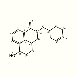 O=C1c2cccc3c2C(CCC3O)CN1CC1CC=NCC1